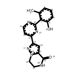 Cc1cccc(O)c1-c1nccc(-c2cc3n(n2)CCNC3=O)n1